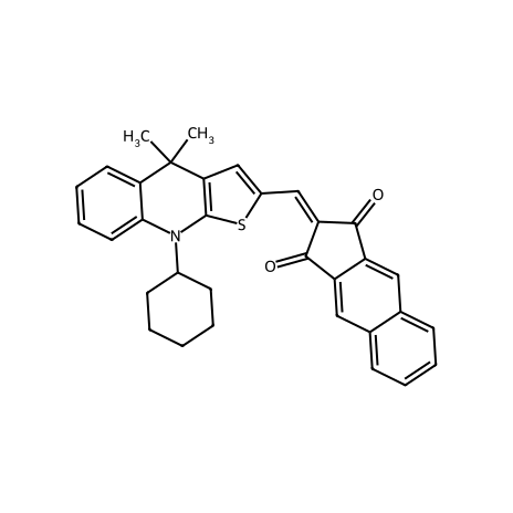 CC1(C)c2ccccc2N(C2CCCCC2)c2sc(C=C3C(=O)c4cc5ccccc5cc4C3=O)cc21